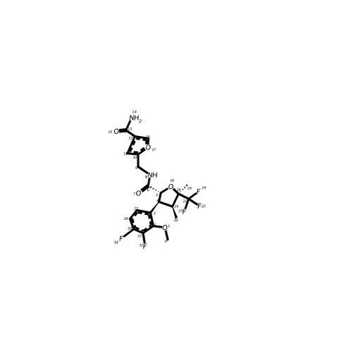 COc1c([C@H]2[C@H](C(=O)NCc3cc(C(N)=O)co3)O[C@@](C)(C(F)(F)F)[C@H]2C)ccc(F)c1F